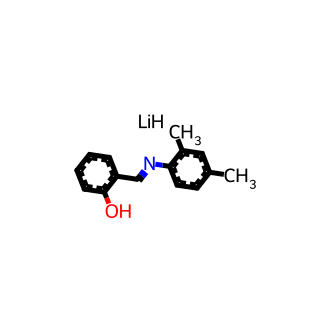 Cc1ccc(N=Cc2ccccc2O)c(C)c1.[LiH]